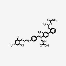 Cc1cc(Cl)c(OCCOc2ccc(CC(CNC(=O)O)c3ccc(-c4ccccc4CC(C)OC(N)=O)cc3C)cc2)c(Cl)c1